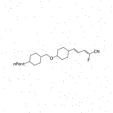 CCCCCC1CCC(COC2CCC(C=CC=C(F)C#N)CC2)CC1